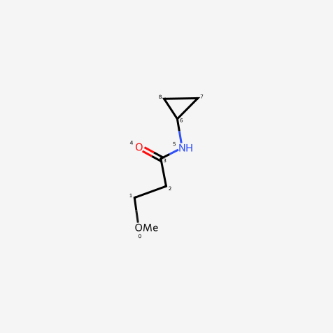 COCCC(=O)NC1CC1